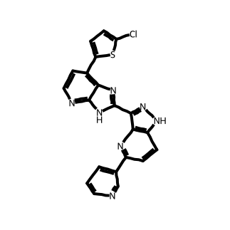 Clc1ccc(-c2ccnc3[nH]c(-c4n[nH]c5ccc(-c6cccnc6)nc45)nc23)s1